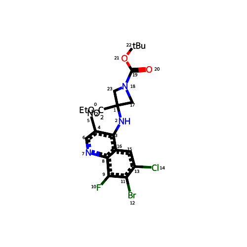 CCOC(=O)C1(Nc2c([N+](=O)[O-])cnc3c(F)c(Br)c(Cl)cc23)CN(C(=O)OC(C)(C)C)C1